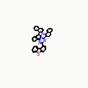 c1ccc(-c2nc(C3=C(n4c5ccccc5c5c6ccccc6ccc54)c4ccccc4CC3)nc(-c3cccc4sc5ccccc5c34)n2)cc1